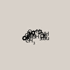 Cc1ccccc1S(=O)(=O)Nc1noc2cc(CN3CCC(NC(=O)OC(C)(C)C)CC3)cc(C)c12